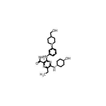 CCc1nc(C(N)=O)c(Nc2cccc(N3CCC(CO)CC3)c2)nc1N[C@H]1CC[C@H](O)CC1